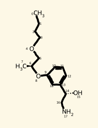 CCCCOC[C@H](C)Oc1cccc([C@H](O)CN)c1